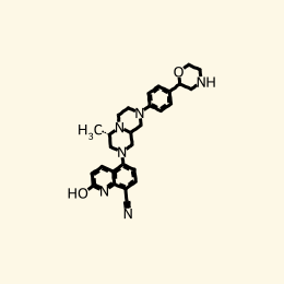 C[C@H]1CN(c2ccc(C#N)c3nc(O)ccc23)CC2CN(c3ccc(C4CNCCO4)cc3)CCN21